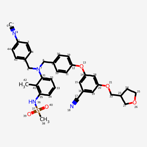 [C-]#[N+]c1ccc(CN(Cc2ccc(Oc3cc(C#N)cc(OCC4CCOC4)c3)cc2)c2cccc(NS(C)(=O)=O)c2C)cc1